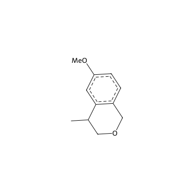 COc1ccc2c(c1)C(C)COC2